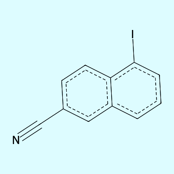 N#Cc1ccc2c(I)cccc2c1